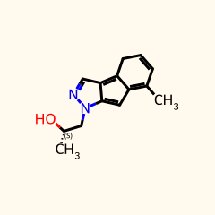 CC1=C2C=c3c(cnn3C[C@H](C)O)=C2CC=C1